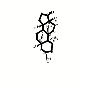 CCC1CC[C@H]2[C@@H]3CC[C@H]4C[C@H](O)CC[C@]4(C)[C@H]3CCC12C(C)=O